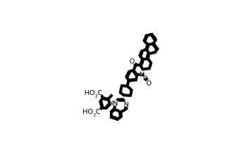 C1=CNc2ccccc2C=N1.Cc1ccc(C(=O)O)cc1C(=O)O.O=C=Nc1cc(C2CCCCC2)ccc1C(=O)C1=c2ccc3c(c2CCC1)CC=c1ccccc1=3